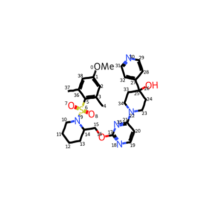 COc1cc(C)c(S(=O)(=O)N2CCCCC2COc2nccc(N3CCC(O)(c4ccncc4)CC3)n2)c(C)c1